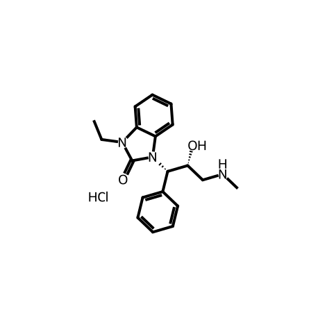 CCn1c(=O)n([C@@H](c2ccccc2)[C@H](O)CNC)c2ccccc21.Cl